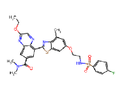 CCOc1cnc2c(-c3nc4c(C)cc(OCCNS(=O)(=O)c5ccc(F)cc5)cc4s3)cc(C(=O)N(C)C)cc2n1